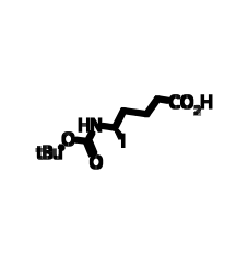 CC(C)(C)OC(=O)N[C@H](I)CCCC(=O)O